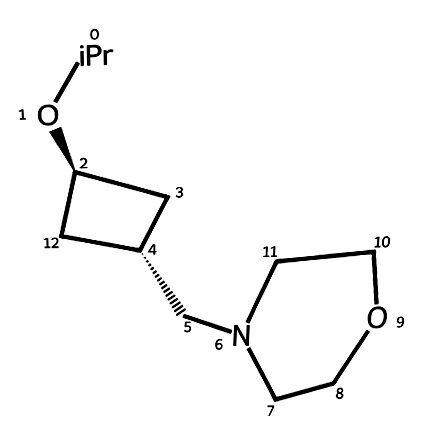 CC(C)O[C@H]1C[C@H](CN2CCOCC2)C1